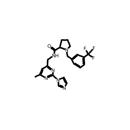 Cc1cc(CNC(=O)C2CCCN2Cc2cccc(C(F)(F)F)c2)nc(-n2ccnc2)n1